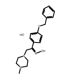 CN1CCN(CC(=NO)c2ccc(OCc3ccccc3)cc2)CC1.Cl